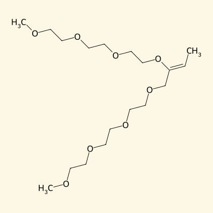 CC=C(COCCOCCOCCOC)OCCOCCOCCOC